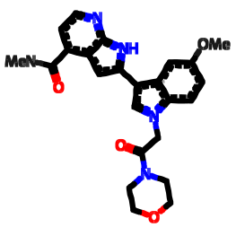 CNC(=O)c1ccnc2[nH]c(-c3cn(CC(=O)N4CCOCC4)c4ccc(OC)cc34)cc12